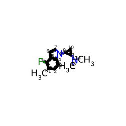 Cc1ccc2c(ccn2[C@H]2CC2N(C)C)c1F